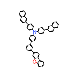 c1cc(-c2ccc(N(c3ccc(-c4ccc5ccccc5c4)cc3)c3ccc(-c4ccc5ccccc5c4)cc3)cc2)cc(-c2ccc3c(c2)oc2ccccc23)c1